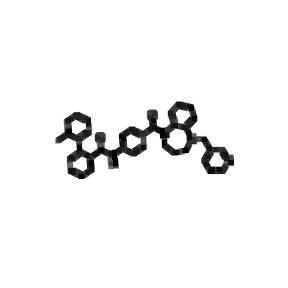 Cc1ccccc1-c1ccccc1C(=O)Nc1ccc(C(=O)N2CCCN(Cc3cccnc3)c3ccccc32)cc1